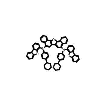 c1ccc2c(c1)oc1c(N(c3ccc(C4CCCCC4)cc3)c3cc4c5cc(N(c6ccc(C7CCCCC7)cc6)c6cccc7c6oc6ccccc67)c6ccccc6c5sc4c4ccccc34)cccc12